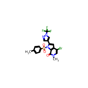 Cc1ccc(S(=O)(=O)n2c(-c3cnn(C(F)(F)F)c3)cc3c(Br)cn(C)c(=O)c32)cc1